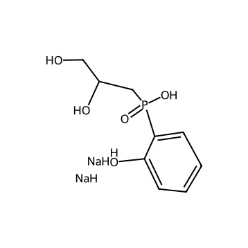 O=P(O)(CC(O)CO)c1ccccc1O.[NaH].[NaH]